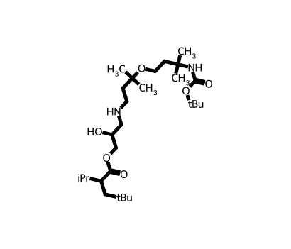 CC(C)C(CC(C)(C)C)C(=O)OCC(O)CNCCC(C)(C)OCCC(C)(C)NC(=O)OC(C)(C)C